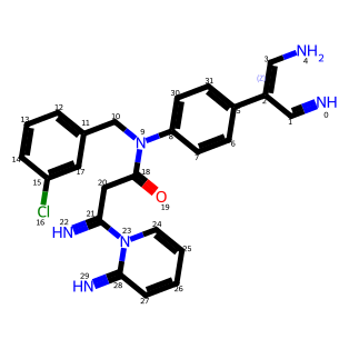 N=C/C(=C\N)c1ccc(N(Cc2cccc(Cl)c2)C(=O)CC(=N)n2ccccc2=N)cc1